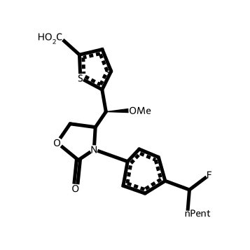 CCCCCC(F)c1ccc(N2C(=O)OCC2[C@H](OC)c2ccc(C(=O)O)s2)cc1